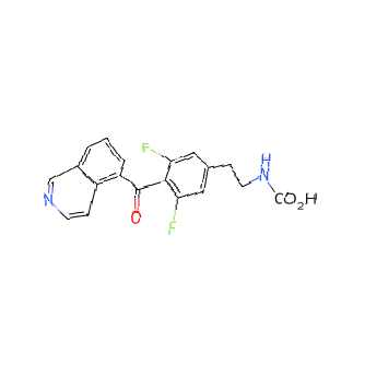 O=C(O)NCCc1cc(F)c(C(=O)c2cccc3cnccc23)c(F)c1